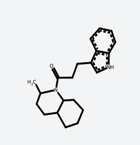 CC1CCC2CCCCC2N1C(=O)CCc1c[nH]c2ccccc12